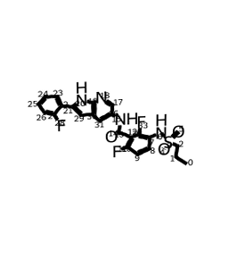 CCCS(=O)(=O)Nc1ccc(F)c(C(=O)Nc2cnc3[nH]c(-c4ccccc4F)cc3c2)c1F